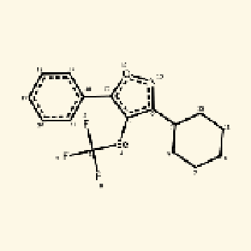 FC(F)(F)[Se]c1c(C2CCCCC2)noc1-c1ccccc1